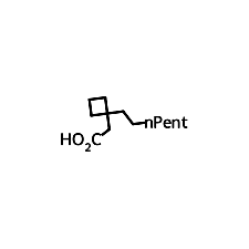 CCCCCCCC1(CC(=O)O)CCC1